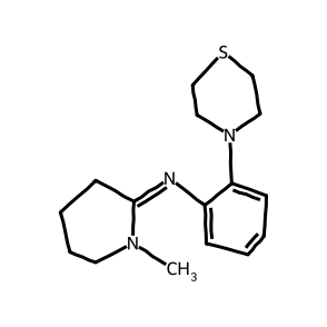 CN1CCCCC1=Nc1ccccc1N1CCSCC1